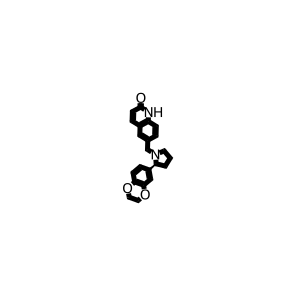 O=c1ccc2cc(CN3CCC[C@H]3c3ccc4c(c3)OCCO4)ccc2[nH]1